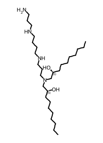 CCCCCCCC[C@H](O)CN(CCCNCCCCNCCCN)C[C@@H](O)CCCCCCCC